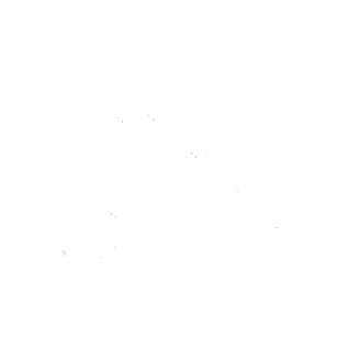 O=C(NC12CC3CC(CC(C3)C1)C2)c1cnn(-c2ccccc2)c1NCCCCO